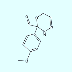 COc1ccc(C2(C=O)NN=CCO2)cc1